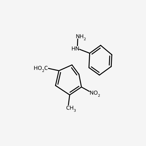 Cc1cc(C(=O)O)ccc1[N+](=O)[O-].NNc1ccccc1